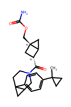 CC1(c2ccc(C34CCN(C(=O)[C@@H]5C[C@]6(COC(N)=O)CC56)CC3C4)cc2)CC1